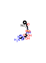 Nc1ncnc2c1ncn2[C@@H]1O[C@H](CNS(=O)(=O)/C=C/CCC(=O)c2ccccc2[N+](=O)[O-])[C@@H](O)[C@H]1O